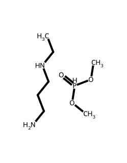 CCNCCCN.CO[PH](=O)OC